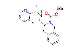 Cc1cccnc1[C@H](C)NCC1Cc2ccccc2CN1C(=O)OC(C)(C)C